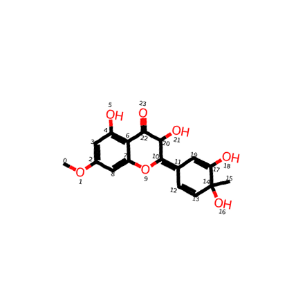 COc1cc(O)c2c(c1)OC(=C1C=CC(C)(O)C(O)=C1)C(O)C2=O